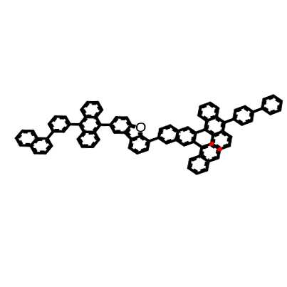 c1ccc(-c2ccc(-c3c4ccccc4c(-c4cc5ccc(-c6cccc7c6oc6ccc(-c8c9ccccc9c(-c9cccc(-c%10cccc%11ccccc%10%11)c9)c9ccccc89)cc67)cc5cc4-c4cccc5ccccc45)c4ccccc34)cc2)cc1